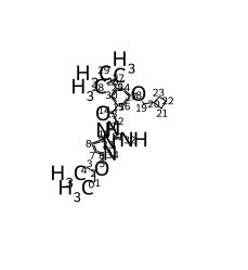 CCC(CC)Oc1ccc2nn(CC(=O)c3cc(OCC4CCC4)cc(C(C)(C)C)c3)c(=N)n2n1